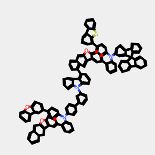 C1=CC2=Cc3oc4ccc(-c5ccccc5N(c5ccc(-c6cccc(-n7c8ccccc8c8c(-c9cccc%10cc%11oc%12ccc(-c%13ccccc%13N(c%13ccc(-c%14cccc%15c%14sc%14ccccc%14%15)cc%13)c%13ccc%14c(c%13)C%13(c%15ccccc%15-c%15ccccc%15%13)c%13ccccc%13-%14)cc%12c%11cc9%10)cccc87)c6)cc5)c5ccc(-c6ccc7oc8ccccc8c7c6)cc5)cc4c3CC2C=C1